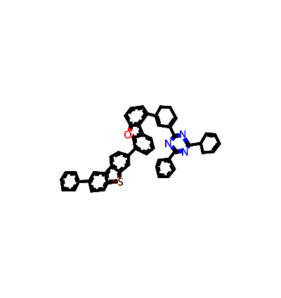 C1=CCC(c2nc(C3=CCCC(c4cccc5oc6c(-c7ccc8c(c7)sc7ccc(-c9ccccc9)cc78)cccc6c45)=C3)nc(-c3ccccc3)n2)C=C1